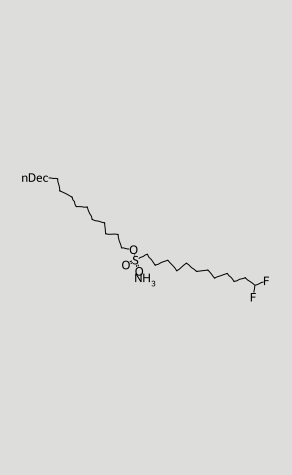 CCCCCCCCCCCCCCCCCCCCOS(=O)(=O)CCCCCCCCCCCC(F)F.N